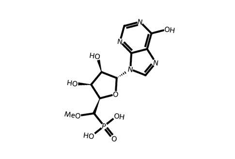 COC([C@@H]1O[C@@H](n2cnc3c(O)ncnc32)[C@H](O)[C@@H]1O)P(=O)(O)O